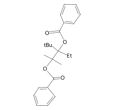 CCC(OC(=O)c1ccccc1)(C(C)(C)C)C(C)(C)OC(=O)c1ccccc1